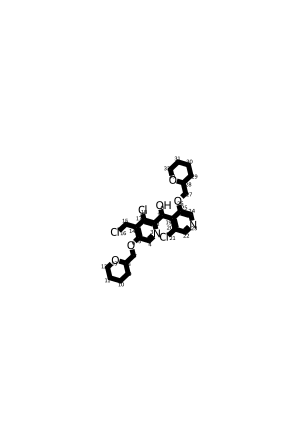 OC(c1ncc(OCC2CCCCO2)c(CCl)c1Cl)c1c(Cl)cncc1OCC1CCCCO1